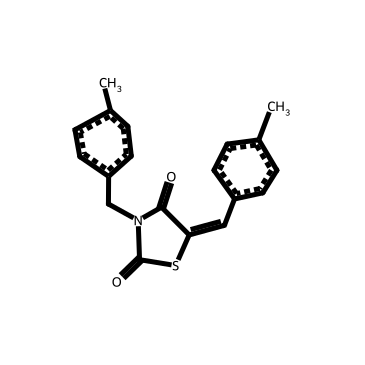 Cc1ccc(C=C2SC(=O)N(Cc3ccc(C)cc3)C2=O)cc1